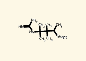 CCCCCCCC(C)C(C)(C)C(C)(C)NC(=N)N